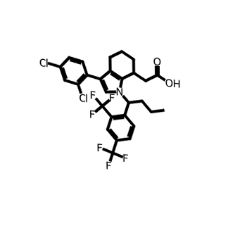 CCCC(c1ccc(C(F)(F)F)cc1C(F)(F)F)n1cc(-c2ccc(Cl)cc2Cl)c2c1C(CC(=O)O)CCC2